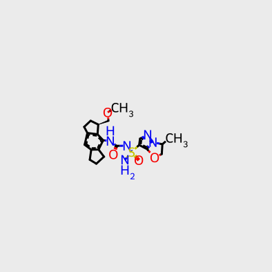 COC[C@@H]1CCc2cc3c(c(NC(=O)N=S(N)(=O)c4cnn5c4OCC5C)c21)CCC3